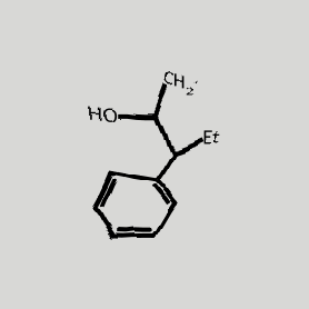 [CH2]C(O)C(CC)c1ccccc1